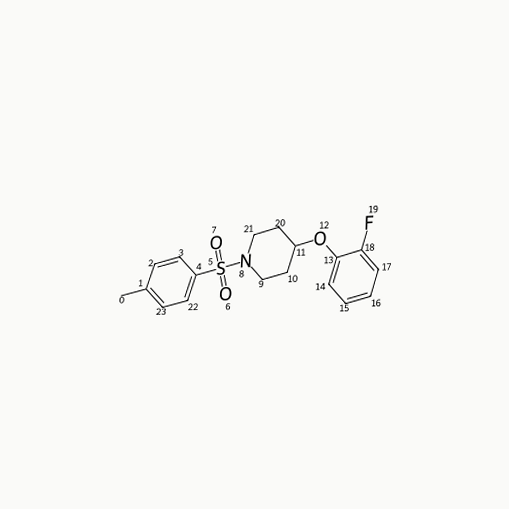 Cc1ccc(S(=O)(=O)N2CCC(Oc3ccccc3F)CC2)cc1